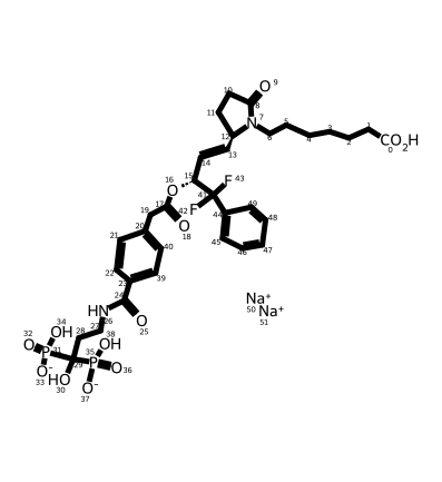 O=C(O)CCCCCCN1C(=O)CC[C@@H]1/C=C/[C@@H](OC(=O)Cc1ccc(C(=O)NCCC(O)(P(=O)([O-])O)P(=O)([O-])O)cc1)C(F)(F)c1ccccc1.[Na+].[Na+]